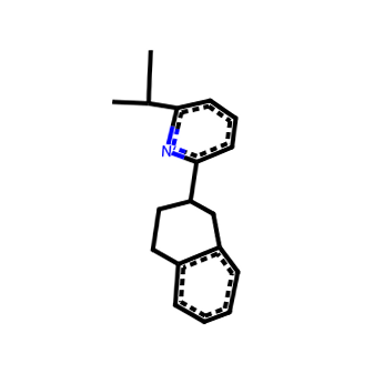 CC(C)c1cccc(C2CCc3ccccc3C2)n1